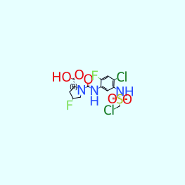 O=C(O)[C@H]1CC(F)CN1C(=O)Nc1cc(NS(=O)(=O)CCl)c(Cl)cc1F